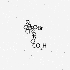 O=C(O)c1cccc(CN2CCC(Oc3cc(Br)ccc3-c3cc(=O)c4cccc(Cl)c4o3)CC2)c1